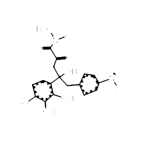 CN(O)C(=O)C(=O)CC(O)(Cc1ccc([N+](=O)[O-])cc1)c1ccc(O)c(O)c1O